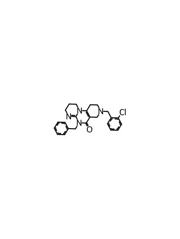 O=C1C2=C(CCN(Cc3ccccc3Cl)C2)N2CCCN=C2N1Cc1ccccc1